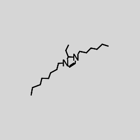 CCCCCCCCN1C=CN(CCCCCC)C1CC